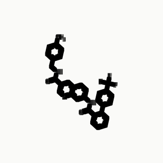 Cc1ccc(CNC(=O)c2cnc3cc(NC(=O)c4ccccc4-c4ccc(C(F)(F)F)cc4)ccc3c2)cc1